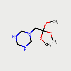 COC(CN1CNCNC1)(OC)OC